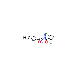 Cc1ccc(-c2cc(NC(=O)c3c(Cl)cccc3Cl)no2)cc1